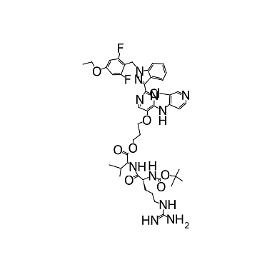 CCOc1cc(F)c(Cn2nc(-c3ncc(OCCCOC(=O)C(NC(=O)[C@H](CCCNC(=N)N)NC(=O)OC(C)(C)C)C(C)C)c(Nc4ccncc4Cl)n3)c3ccccc32)c(F)c1